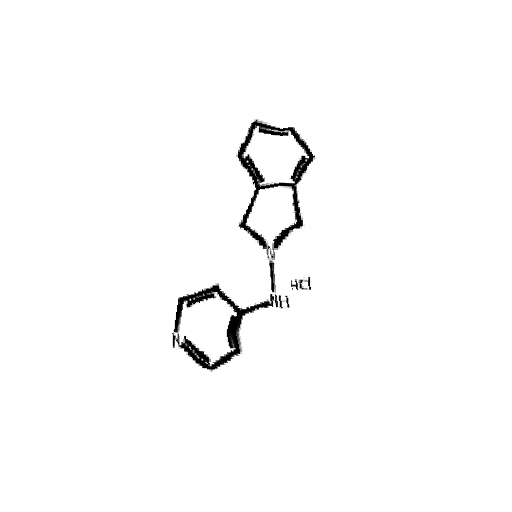 Cl.c1ccc2c(c1)CN(Nc1ccncc1)C2